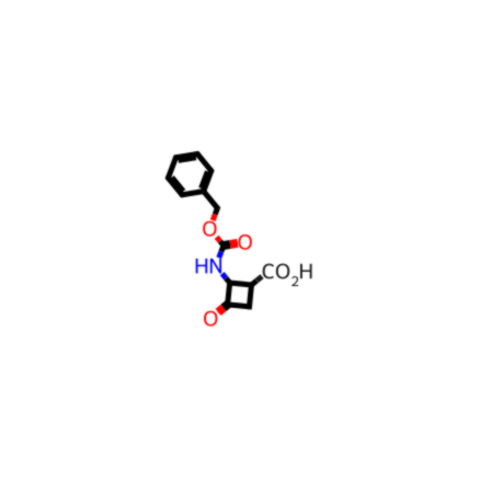 O=C(NC1C(=O)CC1C(=O)O)OCc1ccccc1